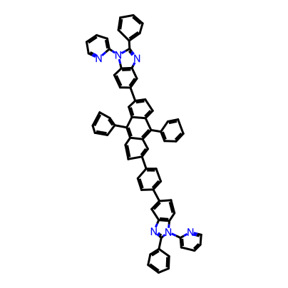 c1ccc(-c2c3ccc(-c4ccc5c(c4)nc(-c4ccccc4)n5-c4ccccn4)cc3c(-c3ccccc3)c3ccc(-c4ccc(-c5ccc6c(c5)nc(-c5ccccc5)n6-c5ccccn5)cc4)cc23)cc1